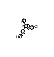 Cn1c(-c2ccccn2)nc(-c2ccc(C(C)(C)O)nc2)c1Sc1ccc(Cl)cn1